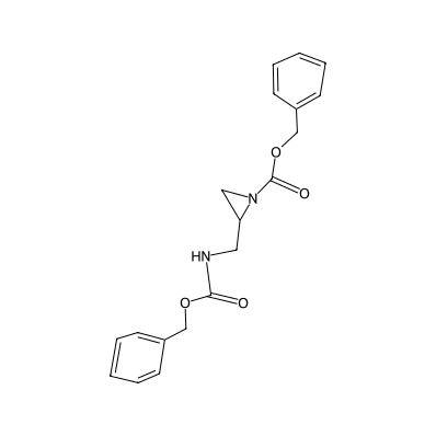 O=C(NCC1CN1C(=O)OCc1ccccc1)OCc1ccccc1